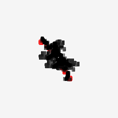 CC(OCC1CO1)Oc1c(C(C)(C)CC(C)(C)C)cc(Cc2cc(C(C)(C)CC(C)(C)C)c(OC(C)OCC3CO3)c(C(C)(C)CC(C)(C)C)c2)cc1C(C)(C)CC(C)(C)C